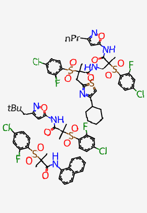 CC(C)(C(=O)Nc1cccc2ccccc12)S(=O)(=O)c1ccc(Cl)cc1F.CC(C)(C)Cc1cc(NC(=O)C(C)(C)S(=O)(=O)c2ccc(Cl)cc2F)on1.CCCc1cc(NC(=O)C(C)(CNC(=O)C(C)(Cc2nc(C3CCCCC3)cs2)S(=O)(=O)c2ccc(Cl)cc2F)S(=O)(=O)c2ccc(Cl)cc2F)on1